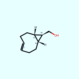 OC[C@@H]1[C@H]2CC/C=C/CC[C@@H]12